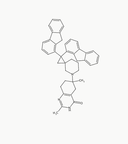 Cc1nc2c(c(=O)[nH]1)CC(C)(N1CCCC3(C1)CC3(c1cccc3c1Cc1ccccc1-3)c1cccc3c1Cc1ccccc1-3)CC2